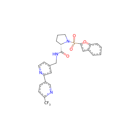 O=C(NCc1ccnc(-c2ccc(C(F)(F)F)nc2)c1)[C@@H]1CCCN1S(=O)(=O)c1cc2ccccc2o1